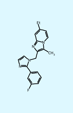 CCc1ccn2c(C)c(Cn3ccnc3-c3cccc(F)c3)nc2c1